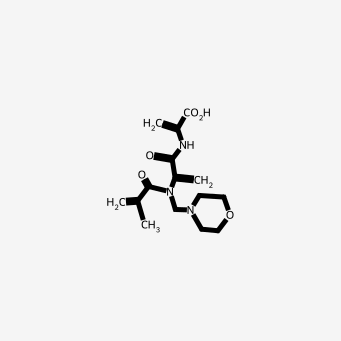 C=C(C)C(=O)N(CN1CCOCC1)C(=C)C(=O)NC(=C)C(=O)O